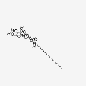 CCCCCCCCCCCCCCCCCCNC(=O)ONc1ccn([C@@H]2O[C@H](CO)C(O)C2O)c(=O)n1